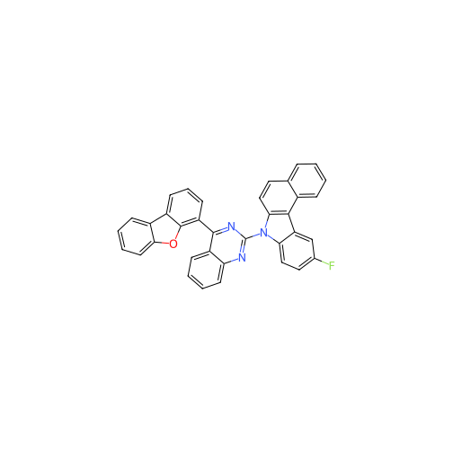 Fc1ccc2c(c1)c1c3ccccc3ccc1n2-c1nc(-c2cccc3c2oc2ccccc23)c2ccccc2n1